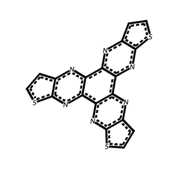 c1cc2nc3c4nc5ccsc5nc4c4nc5sccc5nc4c3nc2s1